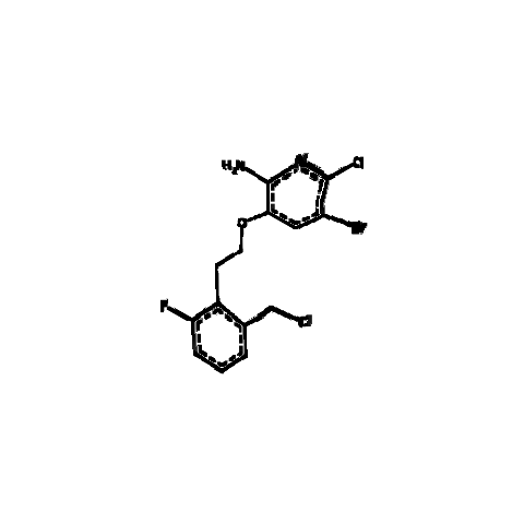 Nc1nc(Cl)c(Br)cc1OCCc1c(F)cccc1CCl